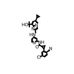 CC(C)(O)c1cc(C2CC2)cn2cc(CNc3ccnc(NC(=O)C4CC4c4cc(Cl)ccc4C#N)c3)nc12